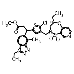 CC[C@@H]1CN(Cc2cc(C(CC(=O)OC)c3ccc4c(nnn4CC)c3C)sc2Cl)S(=O)(=O)c2cnccc2O1